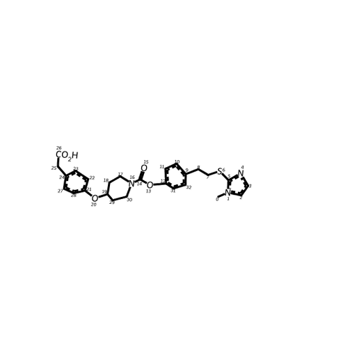 Cn1ccnc1SCCc1ccc(OC(=O)N2CCC(Oc3ccc(CC(=O)O)cc3)CC2)cc1